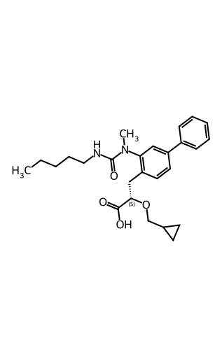 CCCCCNC(=O)N(C)c1cc(-c2ccccc2)ccc1C[C@H](OCC1CC1)C(=O)O